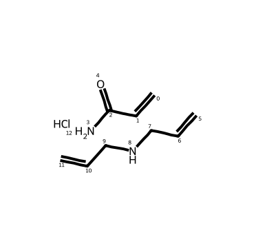 C=CC(N)=O.C=CCNCC=C.Cl